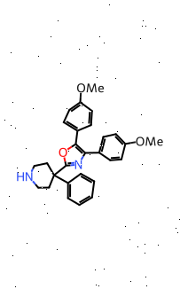 COc1ccc(-c2nc(C3(c4ccccc4)CCNCC3)oc2-c2ccc(OC)cc2)cc1